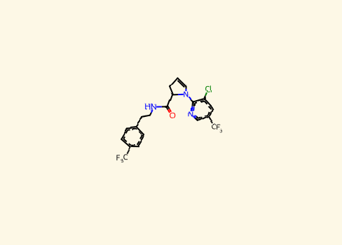 O=C(NCCc1ccc(C(F)(F)F)cc1)C1CC=CN1c1ncc(C(F)(F)F)cc1Cl